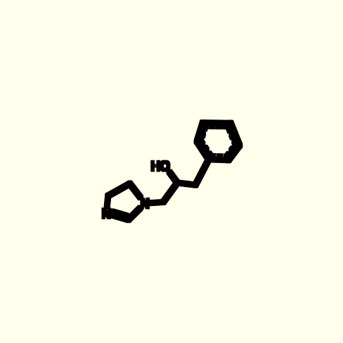 OC(Cc1ccccc1)CN1C=NCC1